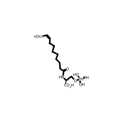 CCCCCCCC/C=C\CCCCCCCC(=O)N[C@@H](CO[PH](O)(O)O)C(=O)O